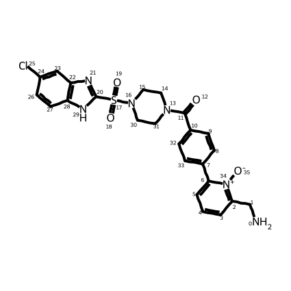 NCc1cccc(-c2ccc(C(=O)N3CCN(S(=O)(=O)c4nc5cc(Cl)ccc5[nH]4)CC3)cc2)[n+]1[O-]